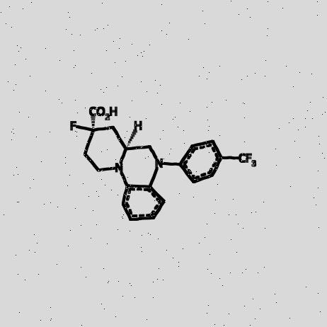 O=C(O)[C@@]1(F)CCN2c3ccccc3N(c3ccc(C(F)(F)F)cc3)C[C@@H]2C1